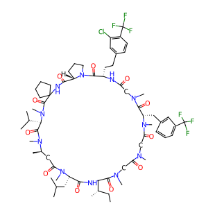 CC[C@H](C)[C@@H]1NC(=O)[C@H](CC(C)C)N(C)C(=O)C[C@@H](C)N(C)C(=O)[C@H](C(C)C)N(C)C(=O)C2(CCCC2)NC(=O)[C@@H]2CCCN2C(=O)[C@H](CCc2ccc(C(F)(F)F)c(Cl)c2)NC(=O)CN(C)C(=O)[C@H](Cc2cccc(C(F)(F)F)c2)N(C)C(=O)CN(C)C(=O)CN(C)C1=O